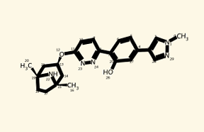 Cn1cc(-c2ccc(-c3ccc(O[C@H]4C[C@]5(C)CC[C@](C)(C4)N5)nn3)c(O)c2)cn1